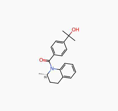 C[C@H]1CCc2ccccc2N1C(=O)c1ccc(C(C)(C)O)cc1